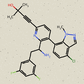 Cn1ncc2c(Cl)ccc(-c3ccc(C#CC(C)(C)O)nc3C(N)Cc3cc(F)cc(F)c3)c21